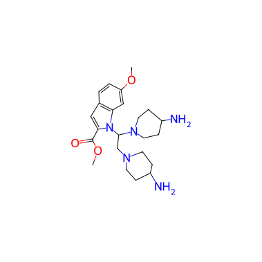 COC(=O)c1cc2ccc(OC)cc2n1C(CN1CCC(N)CC1)N1CCC(N)CC1